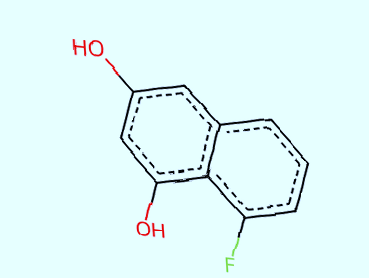 Oc1cc(O)c2c(F)cccc2c1